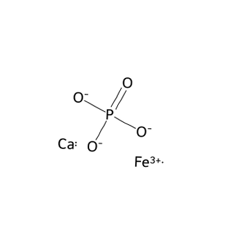 O=P([O-])([O-])[O-].[Ca].[Fe+3]